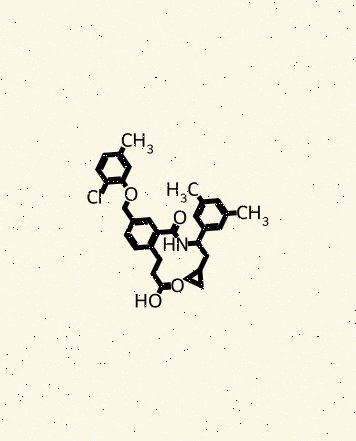 Cc1cc(C)cc(C(CC2CC2)NC(=O)c2cc(COc3cc(C)ccc3Cl)ccc2CCC(=O)O)c1